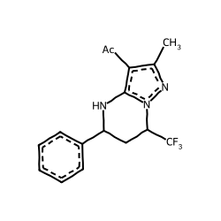 CC(=O)c1c(C)nn2c1NC(c1ccccc1)CC2C(F)(F)F